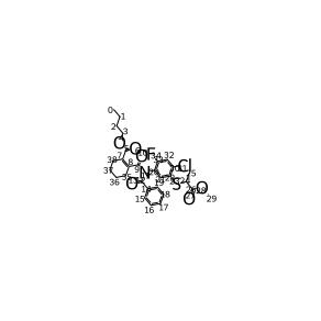 CCCCOC(=O)C1=C(C(=O)N(C(=O)c2ccccc2)c2cc(SC(C)C(=O)OC)c(Cl)cc2F)CCCC1